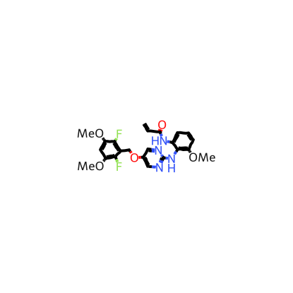 C=CC(=O)Nc1cccc(OC)c1Nc1ncc(OCc2c(F)c(OC)cc(OC)c2F)cn1